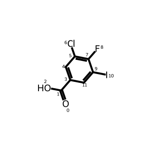 O=C(O)c1cc(Cl)c(F)c(I)c1